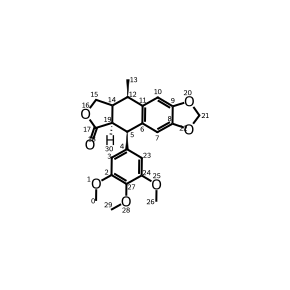 COc1cc([C@@H]2c3cc4c(cc3[C@H](C)C3COC(=O)[C@@H]32)OCO4)cc(OC)c1OC